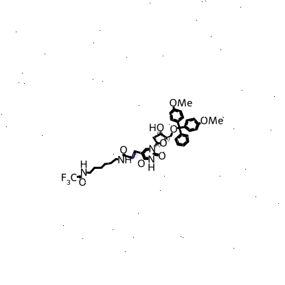 COc1ccc(C(OC[C@H]2O[C@@H](n3cc(/C=C/C(=O)NCCCCCCNC(=O)C(F)(F)F)c(=O)[nH]c3=O)C[C@@H]2O)(c2ccccc2)c2ccc(OC)cc2)cc1